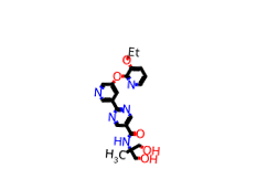 CCOc1cccnc1Oc1cncc(-c2ncc(C(=O)NC(C)(CO)CO)cn2)c1